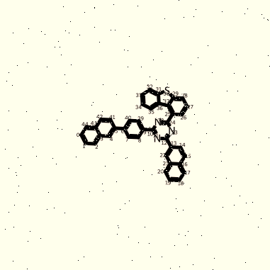 c1ccc2cc(-c3ccc(-c4nc(-c5ccc6ccccc6c5)nc(-c5cccc6sc7ccccc7c56)n4)cc3)ccc2c1